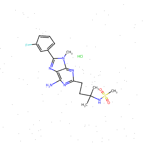 Cl.Cn1c(-c2cccc(F)c2)nc2c(N)nc(CCC(C)(C)NS(C)(=O)=O)nc21